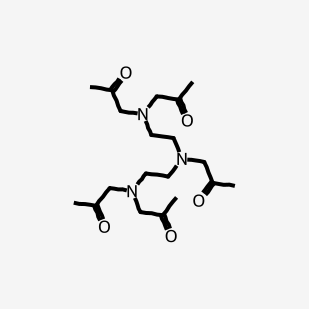 CC(=O)CN(CCN(CC(C)=O)CC(C)=O)CCN(CC(C)=O)CC(C)=O